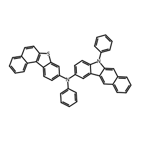 c1ccc(N(c2ccc3c(c2)sc2ccc4ccccc4c23)c2ccc3c(c2)c2cc4ccccc4cc2n3-c2ccccc2)cc1